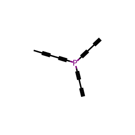 C#CC#CP(C#CC#C)C#CC#CC